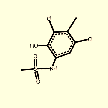 Cc1c(Cl)cc(NS(C)(=O)=O)c(O)c1Cl